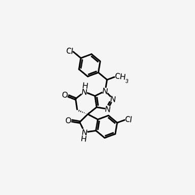 CC(c1ccc(Cl)cc1)n1nnc2c1NC(=O)C[C@]21C(=O)Nc2ccc(Cl)cc21